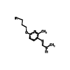 CCN(C)C=Nc1ccc(OCCCC(C)C)nc1C